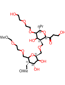 CCC[C@@H]1O[C@@H](C(=O)CCO)[C@@H](COC[C@@H]2OC(COCCOCOC)[C@@H](COC)[C@@H](O)C2O)C(O)C1OCCOCCO